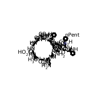 CCCCCc1ccc(/C(C)=C/C(=O)N[C@@H](Cc2c[nH]c3ccccc23)C(=O)N[C@H](CC(N)=O)C(=O)N[C@@H](CC(=O)O)C(=O)N[C@@H]2C(=O)NCC(=O)N[C@@H](CCCN)C(=O)N[C@@H](C)C(=O)N[C@H](C)C(=O)N[C@@H](CC(=O)O)C(=O)NCC(=O)N[C@H](CO)C(=O)N[C@@H](C(C)CC(=O)O)C(=O)N[C@@H](CC(=O)c3ccccc3NC)C(=O)C[C@@H]2C)cc1